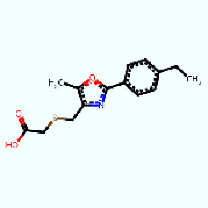 CCc1ccc(-c2nc(CSCC(=O)O)c(C)o2)cc1